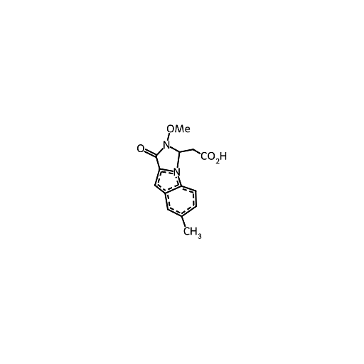 CON1C(=O)c2cc3cc(C)ccc3n2C1CC(=O)O